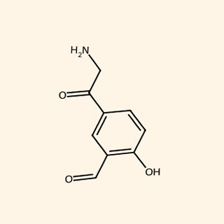 NCC(=O)c1ccc(O)c(C=O)c1